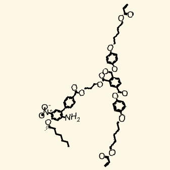 C=CC(=O)OCCCCCOc1ccc(OC(=O)c2ccc(C(=O)Oc3ccc(OCCCCCOC(=O)C=C)cc3)c(C(=O)OCCCOC(=O)c3ccc(-c4cc([N+](=O)[O-])c(O[C@@H](C)CCCCCC)cc4N)cc3)c2)cc1